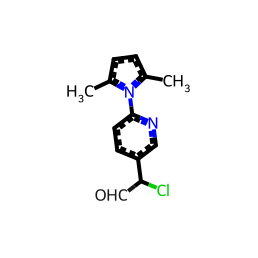 Cc1ccc(C)n1-c1ccc(C(Cl)C=O)cn1